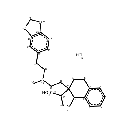 CC(C)C1c2ccccc2CCC1(CCN(C)CCc1ccc2c(c1)OCO2)C(C)C(=O)O.Cl